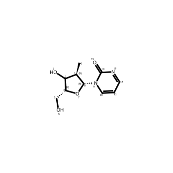 C[C@@H]1C(O)[C@@H](CO)O[C@H]1n1cccnc1=O